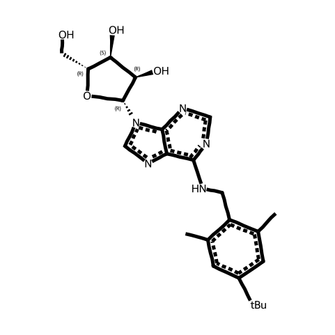 Cc1cc(C(C)(C)C)cc(C)c1CNc1ncnc2c1ncn2[C@@H]1O[C@H](CO)[C@@H](O)[C@H]1O